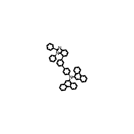 c1ccc(-c2nc3cccc(-c4cccc(-c5ccc(N(c6cc7ccccc7c7ccccc67)c6cc7ccccc7c7ccccc67)cc5)c4)c3n2-c2ccccc2)cc1